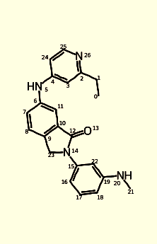 CCc1cc(Nc2ccc3c(c2)C(=O)N(c2cccc(NC)c2)C3)ccn1